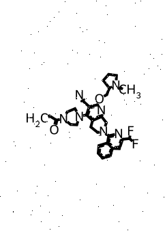 C=CC(=O)N1CCN(c2c(C#N)c(OCC3CCCN3C)nc3c2CCN(c2nc(C(F)F)cc4ccccc24)C3)CC1